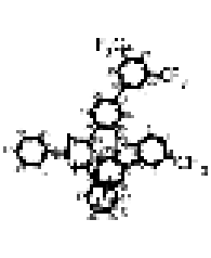 Cc1ccc2c(c1)c1cc(C)ccc1n2-c1cc(-c2cc(C(F)(F)F)cc(C(F)(F)F)c2)ccc1-c1nc(-c2ccccc2)nc(-c2ccccc2)n1